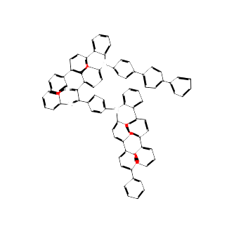 c1ccc(-c2ccc(-c3ccc(N(c4ccc(-c5nc6ccccc6nc5-c5ccc(N(c6ccc(-c7ccc(-c8ccccc8)cc7)cc6)c6ccccc6-c6ccc(-c7ccccc7)cc6)cc5)cc4)c4ccccc4-c4ccc(-c5ccccc5)cc4)cc3)cc2)cc1